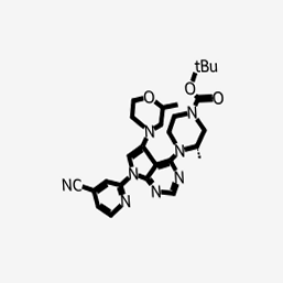 CC1CN(c2cn(-c3cc(C#N)ccn3)c3ncnc(N4CCN(C(=O)OC(C)(C)C)C[C@@H]4C)c23)CCO1